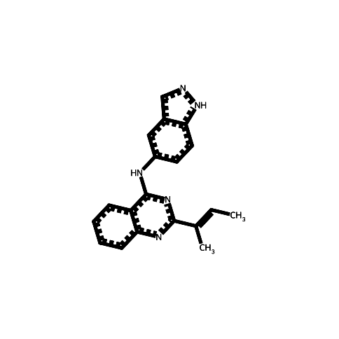 C/C=C(\C)c1nc(Nc2ccc3[nH]ncc3c2)c2ccccc2n1